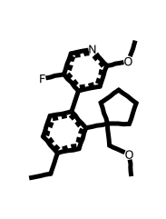 CCc1ccc(-c2cc(OC)ncc2F)c(C2(COC)CCCC2)c1